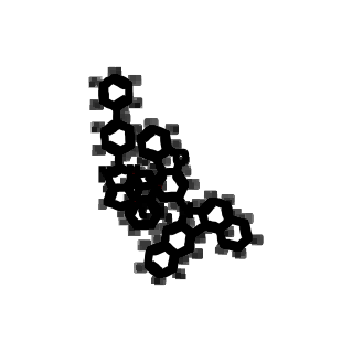 CC1C/C=C(c2cccc3ccccc23)/N=C(c2ccc(-c3ccccc3)cc2)\N=C/1c1cc(-n2c3cc4ccccc4cc3c3c4ccccc4ccc32)cc2oc3ccccc3c12